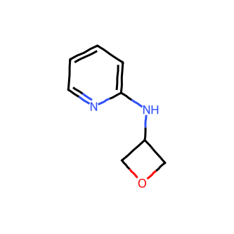 c1ccc(NC2COC2)nc1